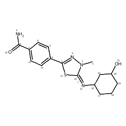 Cn1nc(-c2ccc(C(N)=O)cc2)s/c1=N/C1CCCC(O)C1